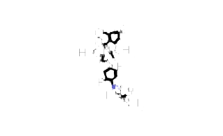 C[C@@H]1CN(c2cc(F)c(/C=N/NC(N)=S)cc2F)C[C@H](C)N1C(=O)c1ccc(Cl)cc1Cl